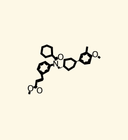 COC(=O)/C=C/c1cccc(N(C[C@H]2CC[C@@H](c3ccc(OC)c(C)c3)CC2)C(=O)C2CCCCC2)c1